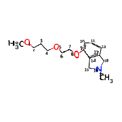 COCCCOCCOc1cccc2c1CN(C)C2